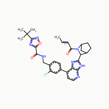 C/C=C/C(=O)N1C2CCC(C2)C1c1nc2c(-c3ccc(CNC(=O)c4nc(C(C)(C)C)no4)c(F)c3)ccnc2[nH]1